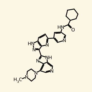 CN1CCN(c2cncc3[nH]c(-c4n[nH]c5ccc(-c6cncc(NC(=O)C7CCCCC7)c6)nc45)nc23)CC1